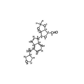 CC1(C)OC2C(C=O)OC(n3cnc4c(NC5CCOC5)ncnc43)C2O1